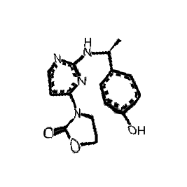 C[C@H](Nc1nccc(N2CCOC2=O)n1)c1ccc(O)cc1